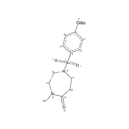 COc1ccc(S(=O)(=O)N2C[CH]C(=O)N(C)CC2)cc1